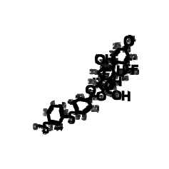 CSc1cccc(Sc2ccc(C3OC4C[C@H]5[C@@H]6C[C@H](F)C7=CC(=O)C=C[C@]7(C)[C@@]6(F)[C@@H](O)C[C@]5(C)[C@]4(C(=O)CO)O3)cc2)c1